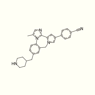 Cc1cnc2n1-c1ccc(CC3CCNCC3)cc1Cn1cc(-c3ccc(C#N)cc3)cc1-2